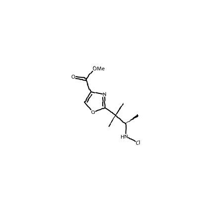 COC(=O)c1coc(C(C)(C)[C@@H](C)NCl)n1